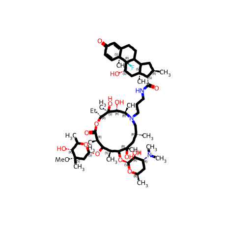 CC[C@H]1OC(=O)[C@H](C)C(O[C@@H]2C[C@](C)(OC)[C@H](O)C(C)O2)[C@H](C)C(O[C@@H]2O[C@H](C)C[C@@H](N(C)C)[C@H]2O)[C@](C)(O)C[C@@H](C)CN(CCCNC(=O)[C@H]2[C@H](C)CC3C4CCC5=CC(=O)C=C[C@]5(C)[C@@]4(F)[C@@H](O)C[C@@]32C)[C@H](C)[C@@H](O)[C@]1(C)O